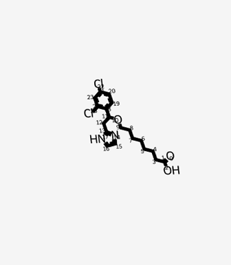 O=C(O)CCCCCCCOC(Cc1ncc[nH]1)c1ccc(Cl)cc1Cl